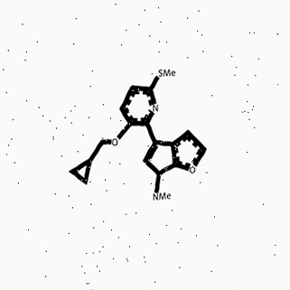 CNC1C=C(c2nc(SC)ccc2OCC2CC2)c2ccoc21